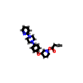 CC(C)(C)CC(=O)ON1CCCC(Oc2ccc(N3CCN(c4ccccn4)CC3)cc2)C1